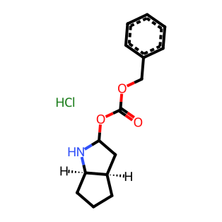 Cl.O=C(OCc1ccccc1)OC1C[C@H]2CCC[C@H]2N1